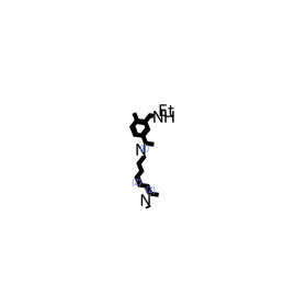 C=N/C(C)=C\C=C/CCC/N=C(\C)c1ccc(C)c(CNCC)c1